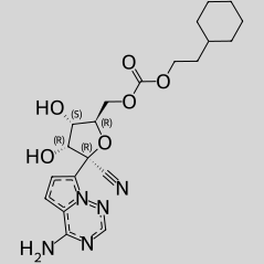 N#C[C@@]1(c2ccc3c(N)ncnn23)O[C@H](COC(=O)OCCC2CCCCC2)[C@@H](O)[C@H]1O